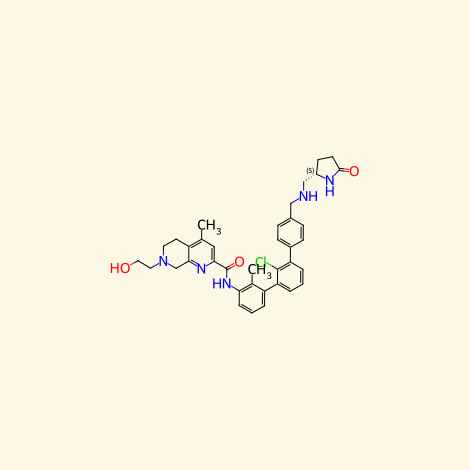 Cc1cc(C(=O)Nc2cccc(-c3cccc(-c4ccc(CNC[C@@H]5CCC(=O)N5)cc4)c3Cl)c2C)nc2c1CCN(CCO)C2